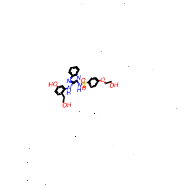 O=S(=O)(Nc1nc2ccccc2nc1Nc1cc(O)ccc1CCO)c1ccc(OCCO)cc1